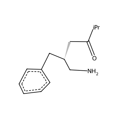 CC(C)C(=O)C[C@H](CN)Cc1ccccc1